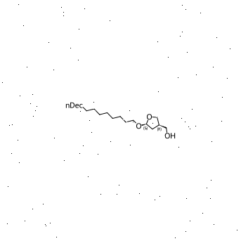 CCCCCCCCCCCCCCCCCCO[C@@H]1C[C@H](CO)CO1